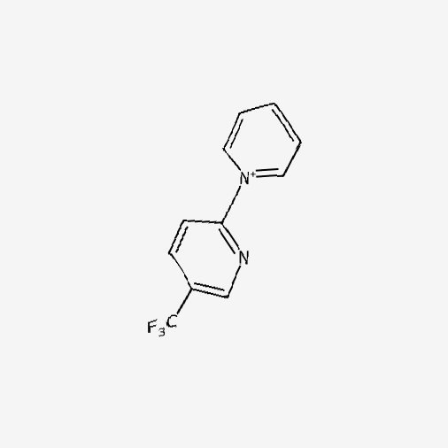 FC(F)(F)c1ccc(-[n+]2ccccc2)nc1